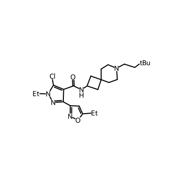 CCc1cc(-c2nn(CC)c(Cl)c2C(=O)NC2CC3(CCN(CCC(C)(C)C)CC3)C2)no1